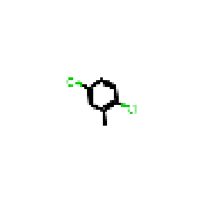 Cc1cc(Cl)ccc1Cl